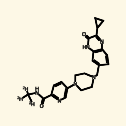 [2H]C([2H])([2H])NC(=O)c1ccc(N2CCN(Cc3ccc4nc(C5CC5)c(=O)[nH]c4c3)CC2)cn1